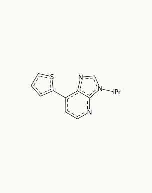 CC(C)n1cnc2c(-c3cccs3)ccnc21